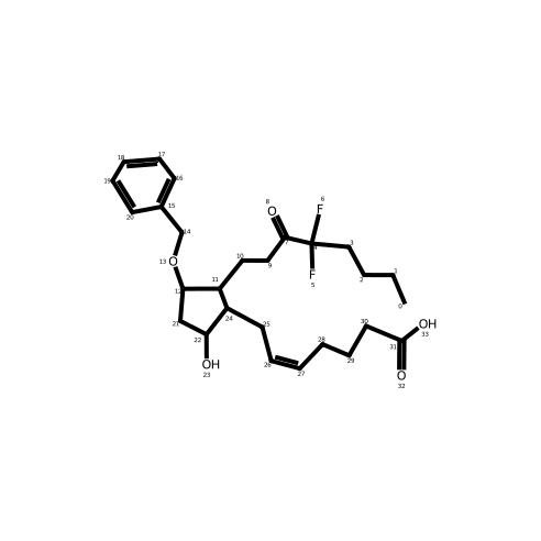 CCCCC(F)(F)C(=O)CCC1C(OCc2ccccc2)CC(O)C1C/C=C\CCCC(=O)O